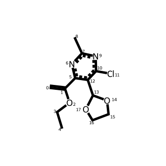 C=C(OCC)c1nc(C)nc(Cl)c1C1OCCO1